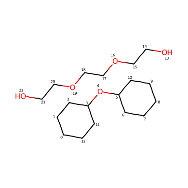 C1CCC(OC2CCCCC2)CC1.OCCOCCOCCO